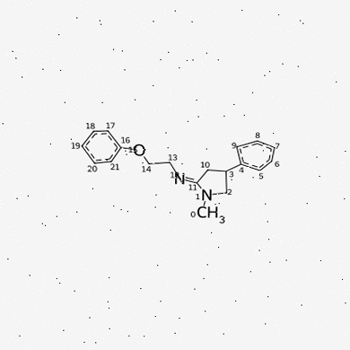 CN1CC(c2ccccc2)C/C1=N\CCOc1ccccc1